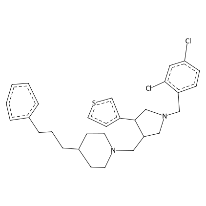 Clc1ccc(CN2CC(CN3CCC(CCCc4ccccc4)CC3)C(c3ccsc3)C2)c(Cl)c1